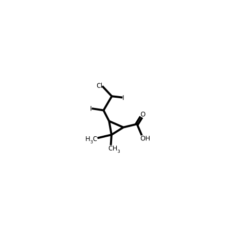 CC1(C)C(C(=O)O)C1C(I)C(Cl)I